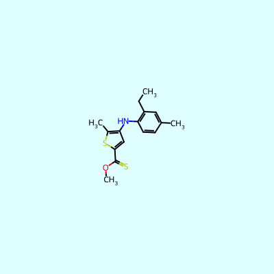 CCc1cc(C)ccc1Nc1cc(C(=S)OC)sc1C